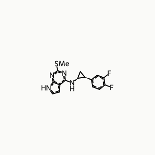 CSc1nc(N[C@H]2C[C@H]2c2ccc(F)c(F)c2)c2cc[nH]c2n1